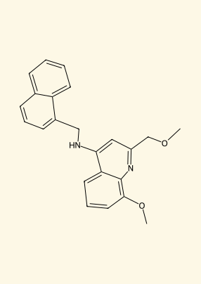 COCc1cc(NCc2cccc3ccccc23)c2cccc(OC)c2n1